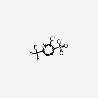 O=S(=O)(Cl)c1ccc(C(F)(F)F)nc1Cl